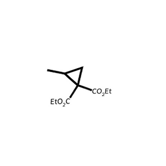 CCOC(=O)C1(C(=O)OCC)CC1C